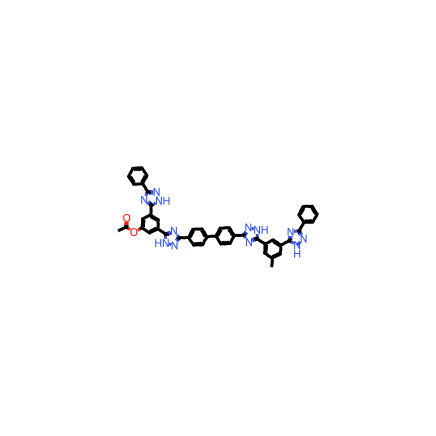 CC(=O)Oc1cc(-c2nc(-c3ccccc3)n[nH]2)cc(-c2nc(-c3ccc(-c4ccc(-c5n[nH]c(-c6cc(C)cc(-c7nc(-c8ccccc8)n[nH]7)c6)n5)cc4)cc3)n[nH]2)c1